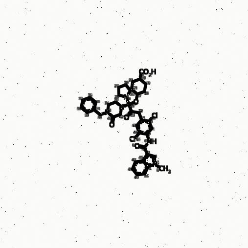 Cn1cc(C(=O)Nc2cc(Cl)c(CC(=O)C(OC3CCC(C(=O)O)CC3)(N3CCCC3)N3CCN(Cc4ccccc4)C(=O)C3)cc2Cl)c2ccccc21